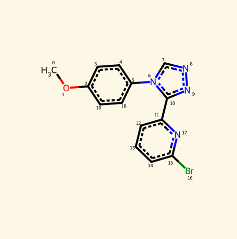 COc1ccc(-n2cnnc2-c2cccc(Br)n2)cc1